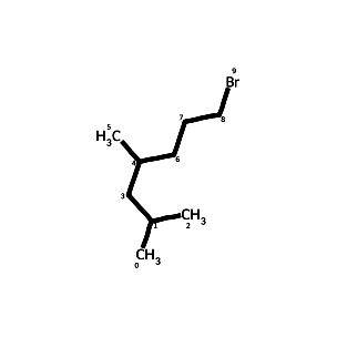 CC(C)CC(C)CCCBr